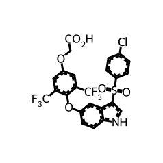 O=C(O)COc1cc(C(F)(F)F)c(Oc2ccc3[nH]cc(S(=O)(=O)c4ccc(Cl)cc4)c3c2)c(C(F)(F)F)c1